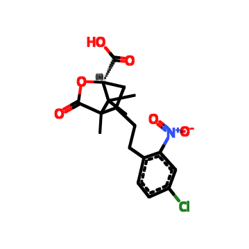 CC12C(=O)O[C@@](C(=O)O)(CC1CCc1ccc(Cl)cc1[N+](=O)[O-])C2(C)C